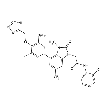 COc1cc(-c2cc(C(F)(F)F)cc3c2n(C)c(=O)n3CC(=O)Nc2ccccc2Cl)cc(F)c1OCc1nnc[nH]1